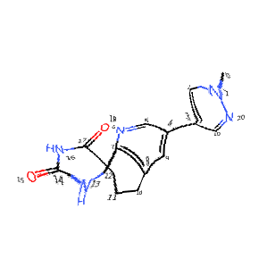 Cn1cc(-c2cnc3c(c2)CCC32NC(=O)NC2=O)cn1